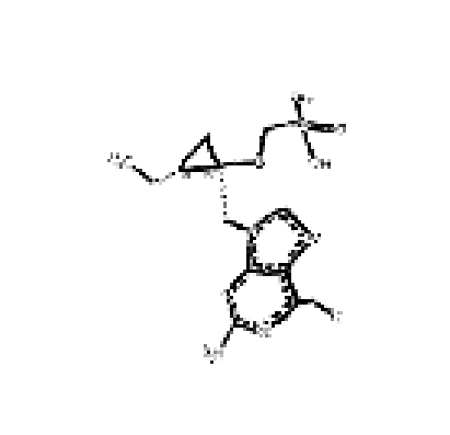 CC[C@@H]1C[C@@]1(Cn1cnc2c(Cl)nc(N)nc21)OCP(=O)(O)O